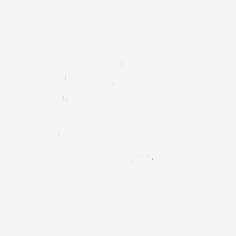 CO/N=C(\Cl)CCC/C=C(\c1cc(C)c(OC)c(C(=O)SC)c1)c1cc(C)c2onc(OC)c2c1